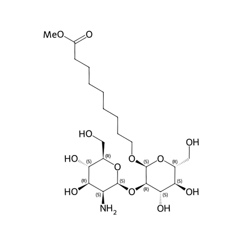 COC(=O)CCCCCCCCO[C@H]1O[C@H](CO)[C@@H](O)[C@H](O)[C@H]1O[C@@H]1O[C@H](CO)[C@@H](O)[C@H](O)[C@@H]1N